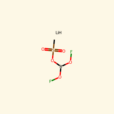 CS(=O)(=O)OB(OF)OF.[LiH]